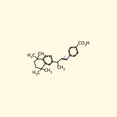 CC(/C=C/c1ccc(C(=O)O)cc1)c1ccc2c(c1)C(C)(C)CCC2(C)C